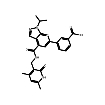 Cc1cc(C)c(CNC(=O)c2cc(-c3cccc(C(=O)O)c3)nc3c2cnn3C(C)C)c(=O)[nH]1